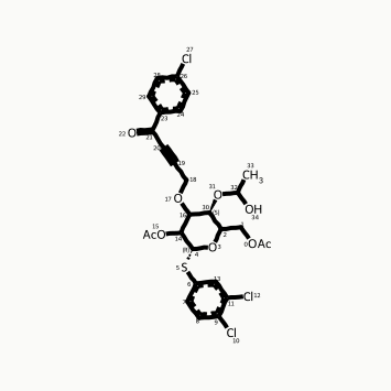 CC(=O)OCC1O[C@H](Sc2ccc(Cl)c(Cl)c2)C(OC(C)=O)C(OCC#CC(=O)c2ccc(Cl)cc2)[C@H]1OC(C)O